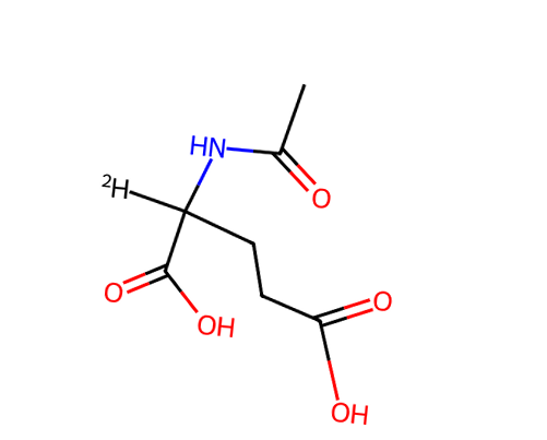 [2H]C(CCC(=O)O)(NC(C)=O)C(=O)O